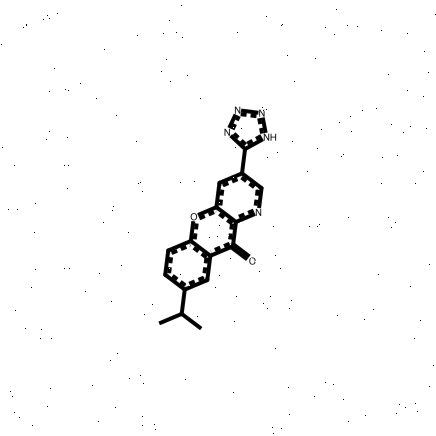 CC(C)c1ccc2oc3cc(-c4nnn[nH]4)cnc3c(=O)c2c1